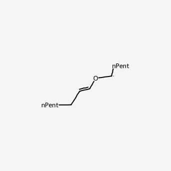 [CH2]CCCC[CH]OC=CCCCCCC